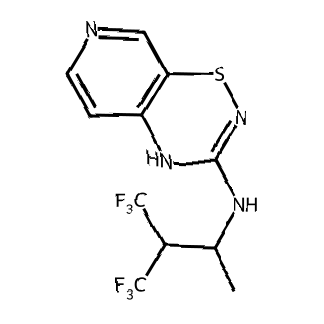 CC(NC1=NSc2cnccc2N1)C(C(F)(F)F)C(F)(F)F